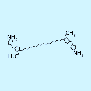 CCc1cc(Cc2ccc(N)cc2)ccc1CCCCCCCCCCCCCCCCCCc1ccc(Cc2ccc(N)cc2)cc1CC